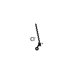 CCCCCCCCCCCCCCCCCC[N+](C)(C)C=Cc1ccccc1.[Cl-]